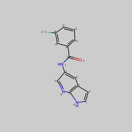 O=C(Nc1[c]c2cc[nH]c2nc1)c1cccc(F)c1